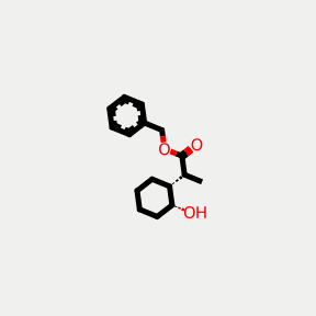 CC(C(=O)OCc1ccccc1)[C@H]1CCCC[C@H]1O